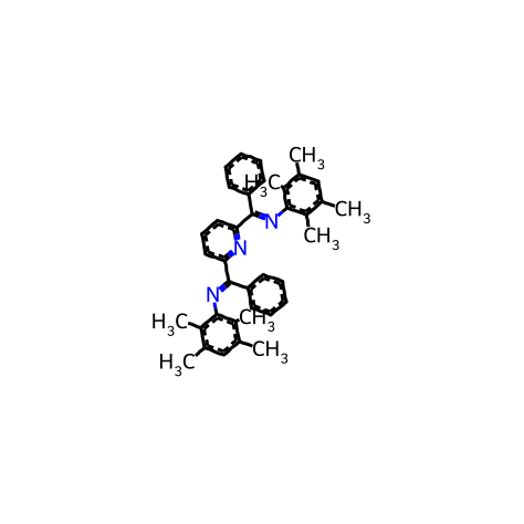 Cc1cc(C)c(C)c(/N=C(\c2ccccc2)c2cccc(/C(=N/c3c(C)c(C)cc(C)c3C)c3ccccc3)n2)c1C